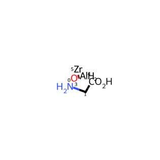 NCC(=O)O.[O]=[AlH].[Zr]